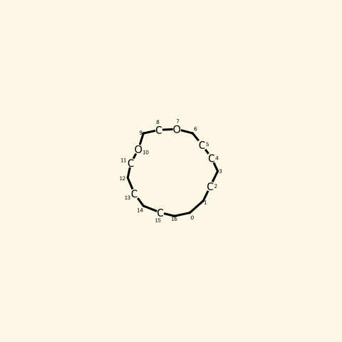 C1CCCCCCOCCOCCCCCC1